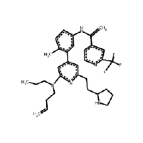 C=CCCN(CCC)c1cc(-c2cc(NC(=C)c3ccnc(C(F)(F)F)c3)ccc2C)cc(CCC2CCCN2)n1